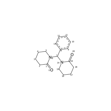 O=C1CCCCN1C(c1ccccc1)N1CCCCC1=O